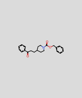 O=C(CCC1CCN(C(=O)OCc2ccccc2)CC1)c1ccccc1